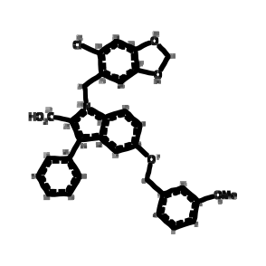 COc1cccc(COc2ccc3c(c2)c(-c2ccccc2)c(C(=O)O)n3Cc2cc3c(cc2Cl)OCO3)c1